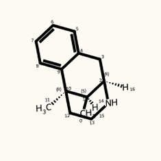 C[C@@H]1[C@H]2Cc3ccccc3[C@]1(C)CCN2